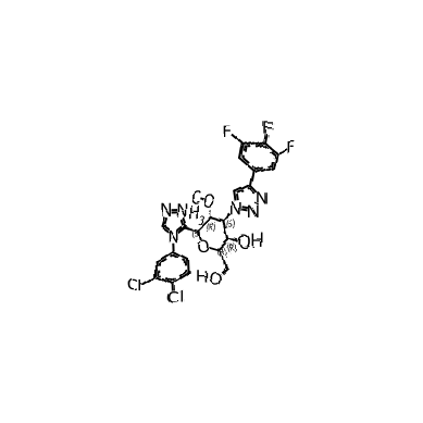 CO[C@@H]1[C@@H](n2cc(-c3cc(F)c(F)c(F)c3)nn2)[C@@H](O)[C@@H](CO)O[C@H]1c1nncn1-c1ccc(Cl)c(Cl)c1